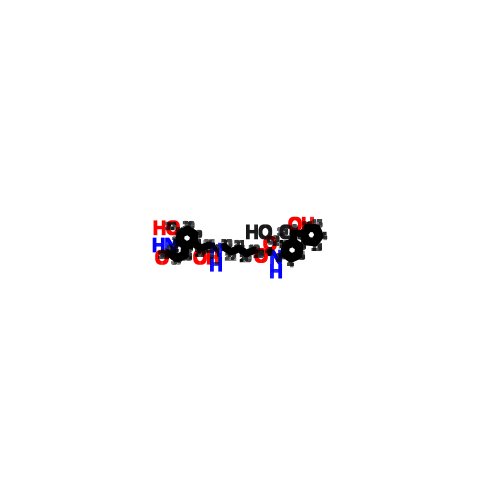 O=C(Nc1cccc(C(O)(C(=O)O)c2ccccc2)c1)OCCCCCNC[C@H](O)c1ccc(O)c2[nH]c(=O)ccc12